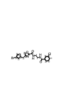 O=C(NCCNC(=O)c1nc(Cn2cc(Br)cn2)no1)c1cccc(Cl)c1